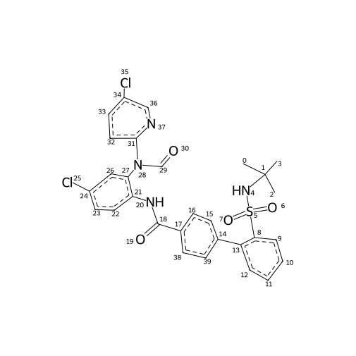 CC(C)(C)NS(=O)(=O)c1ccccc1-c1ccc(C(=O)Nc2ccc(Cl)cc2N(C=O)c2ccc(Cl)cn2)cc1